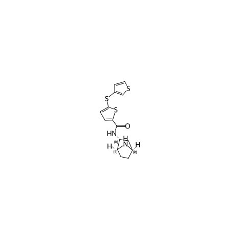 O=C(N[C@@H]1C[C@H]2CC[C@@H]1N2)c1ccc(Sc2ccsc2)s1